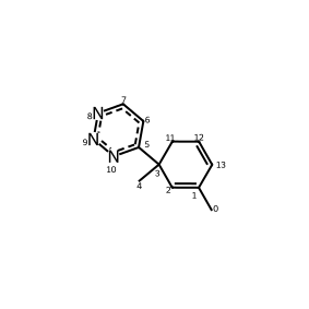 CC1=CC(C)(c2ccnnn2)CC=C1